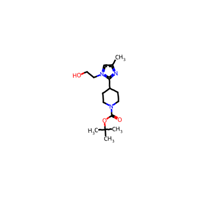 Cc1cn(CCO)c(C2CCN(C(=O)OC(C)(C)C)CC2)n1